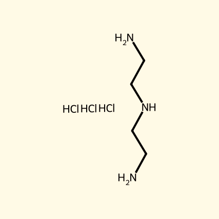 Cl.Cl.Cl.NCCNCCN